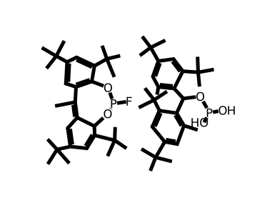 C/C1=C2\C=C(C(C)(C)C)C=C(C(C)(C)C)C2OP(F)Oc2c1cc(C(C)(C)C)cc2C(C)(C)C.Cc1cc(C(C)(C)C)cc(C(C)(C)C)c1C(OP(O)O)c1c(C)cc(C(C)(C)C)cc1C(C)(C)C